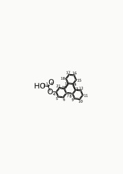 O=C(O)Oc1ccc2c3ccccc3c3ccccc3c2c1